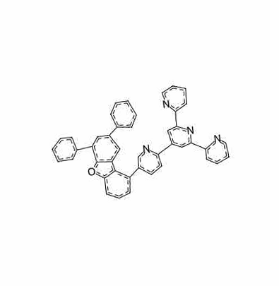 c1ccc(-c2cc(-c3ccccc3)c3oc4cccc(-c5ccc(-c6cc(-c7ccccn7)nc(-c7ccccn7)c6)nc5)c4c3c2)cc1